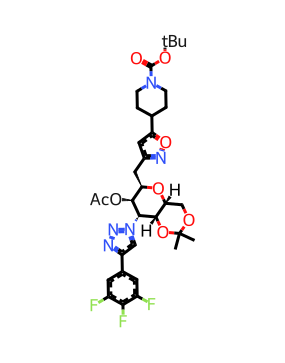 CC(=O)O[C@@H]1[C@@H](n2cc(-c3cc(F)c(F)c(F)c3)nn2)[C@H]2OC(C)(C)OC[C@H]2O[C@@H]1Cc1cc(C2CCN(C(=O)OC(C)(C)C)CC2)on1